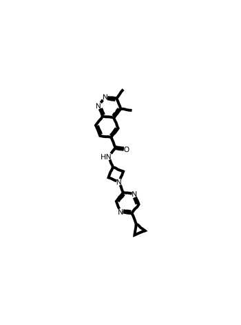 Cc1nnc2ccc(C(=O)NC3CN(c4cnc(C5CC5)cn4)C3)cc2c1C